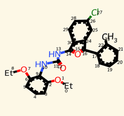 CCOc1cccc(OCC)c1NC(=O)Nc1oc(-c2ccccc2C)c2cc(Cl)ccc12